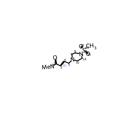 CNC(=O)/C=C/CN1CCN(S(C)(=O)=O)CC1